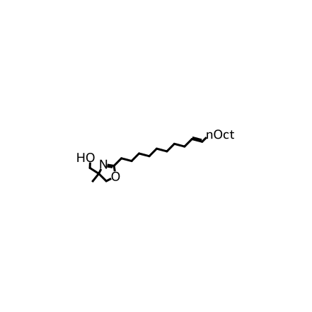 CCCCCCCCC=CCCCCCCCCC1=NC(C)(CO)CO1